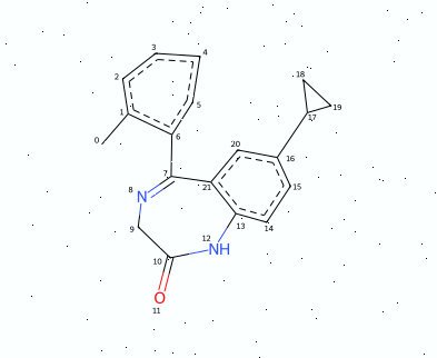 Cc1ccccc1C1=NCC(=O)Nc2ccc(C3CC3)cc21